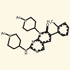 CC(=O)N1CCC(Nc2ncc3cc(-c4ccccc4C)c(=O)n(C4CCN(C(C)=O)CC4)c3n2)CC1